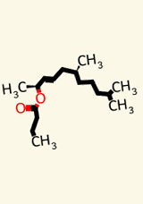 CCCC(=O)O[C@@H](C)/C=C/C[C@H](C)CCCC(C)C